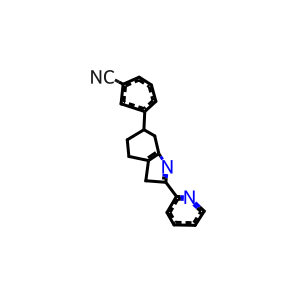 N#Cc1cccc(C2CCC3=C(C2)N=C(c2ccccn2)C3)c1